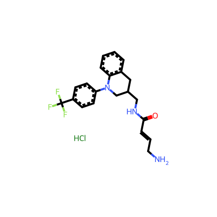 Cl.NC/C=C/C(=O)NCC1Cc2ccccc2N(c2ccc(C(F)(F)F)cc2)C1